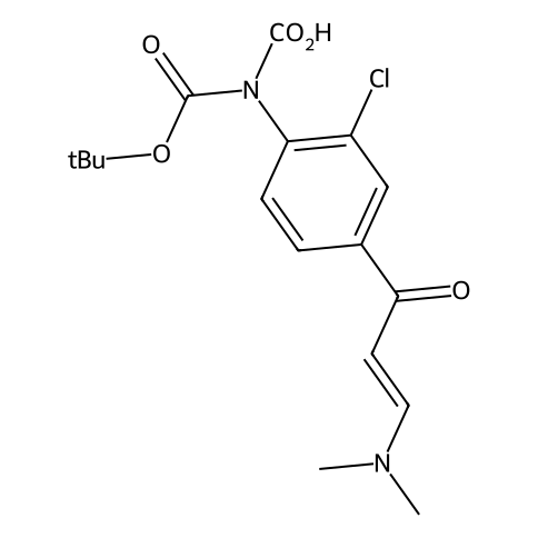 CN(C)C=CC(=O)c1ccc(N(C(=O)O)C(=O)OC(C)(C)C)c(Cl)c1